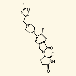 Cc1nc(CN2CCN(c3cc4c(cc3F)C(=O)N(C3CCC(=O)NC3=O)C4)CC2)co1